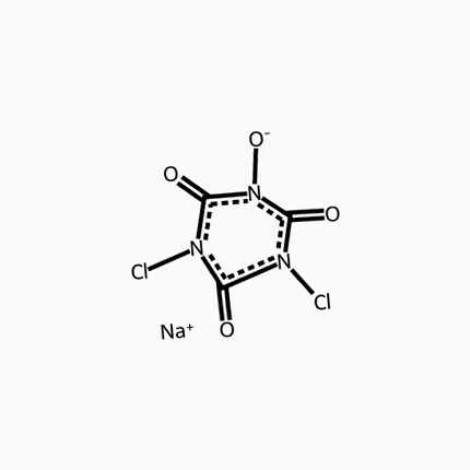 O=c1n([O-])c(=O)n(Cl)c(=O)n1Cl.[Na+]